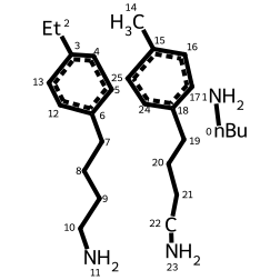 CCCCN.CCc1ccc(CCCCN)cc1.Cc1ccc(CCCCN)cc1